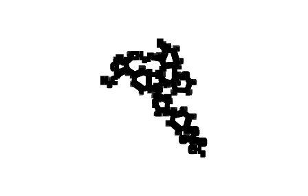 Cc1noc(C)c1-c1ccc2c(c1)nc([C@@H]1CCCON1c1ccc(F)c(F)c1)n2-c1nc(-c2ccc(OS(C)(=O)=O)cc2)cs1